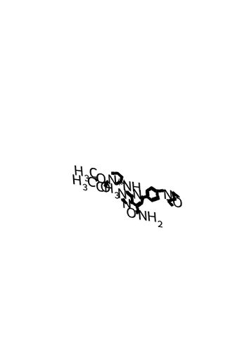 CC(C)(C)OC(=O)N1CCC[C@H](Nc2ncnc3c(C(N)=O)cc(-c4ccc(CN5C6COCC5C6)cc4)nc23)C1